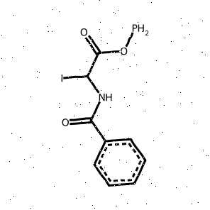 O=C(NC(I)C(=O)OP)c1ccccc1